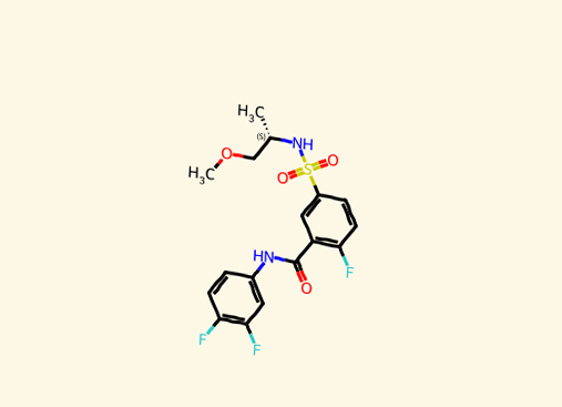 COC[C@H](C)NS(=O)(=O)c1ccc(F)c(C(=O)Nc2ccc(F)c(F)c2)c1